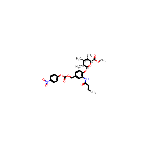 CCCC(=O)Nc1cc(COC(=O)Oc2ccc([N+](=O)[O-])cc2)ccc1O[C@H]1O[C@H](C(=O)OC)[C@@H](C)[C@H](C)[C@H]1C